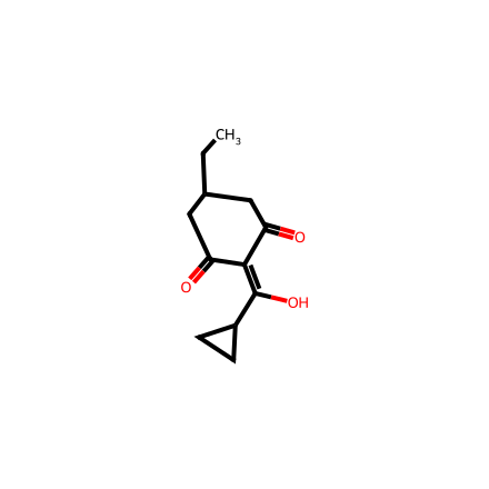 CCC1CC(=O)C(=C(O)C2CC2)C(=O)C1